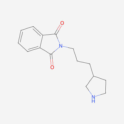 O=C1c2ccccc2C(=O)N1CCCC1CCNC1